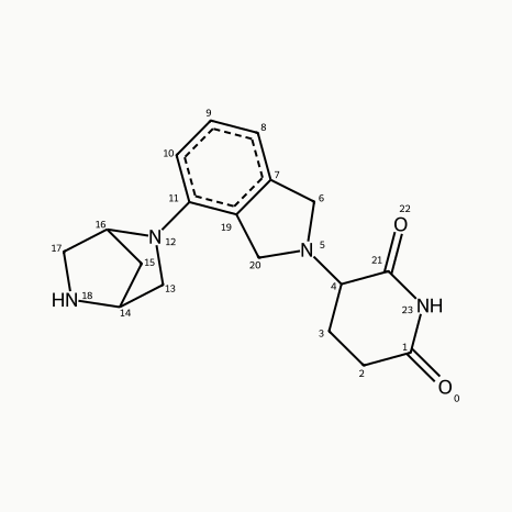 O=C1CCC(N2Cc3cccc(N4CC5CC4CN5)c3C2)C(=O)N1